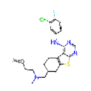 COCCN(C)CC1CCc2c(sc3ncnc(Nc4ccc(F)c(Cl)c4)c23)C1